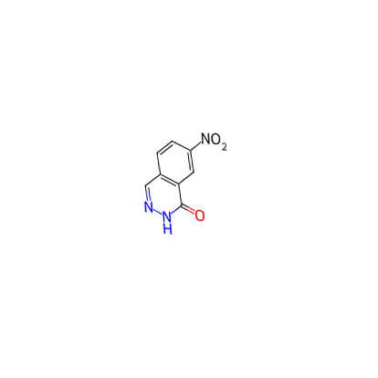 O=c1[nH]ncc2ccc([N+](=O)[O-])cc12